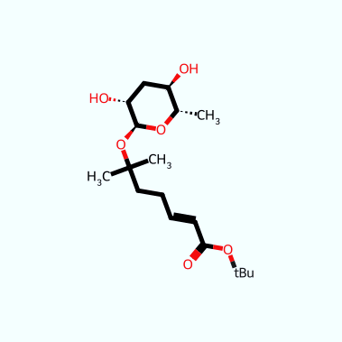 C[C@@H]1O[C@@H](OC(C)(C)CC/C=C/C(=O)OC(C)(C)C)[C@H](O)C[C@H]1O